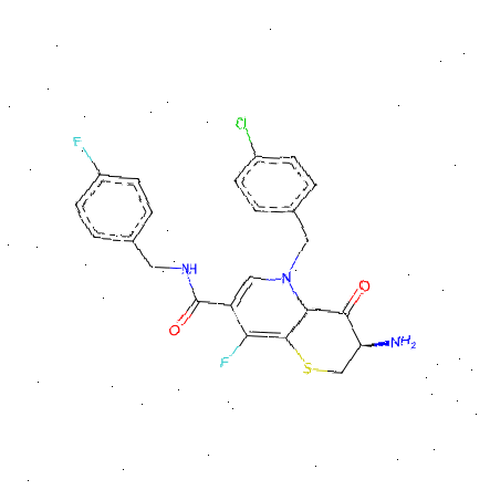 N[C@H]1CSC2=C(F)C(C(=O)NCc3ccc(F)cc3)=CN(Cc3ccc(Cl)cc3)C2C1=O